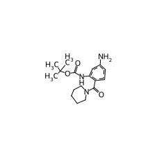 CC(C)(C)OC(=O)Nc1cc(N)ccc1C(=O)N1CCCCC1